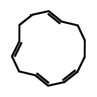 [CH]1/C=C/CCC/C=C\C=C\C/C=C/C1